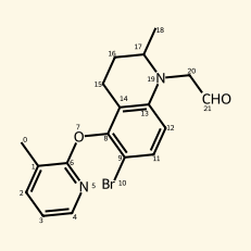 Cc1cccnc1Oc1c(Br)ccc2c1CCC(C)N2CC=O